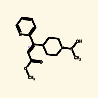 COC(=O)/C=C(/c1ccccn1)C1CCN(B(C)O)CC1